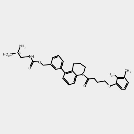 Cc1cccc(OCCCC(=O)N2CCCc3c(-c4cccc(COC(=O)NC[C@H](N)C(=O)O)c4)cccc32)c1C